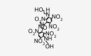 O=[N+]([O-])c1cc([N+](=O)[O-])c(-c2nnc(-c3c([N+](=O)[O-])cc([N+](=O)[O-])c(NCCO)c3[N+](=O)[O-])o2)c([N+](=O)[O-])c1NCCO